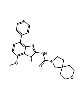 COc1ccc(-c2ccncc2)c2nc(NC(=O)N3CCC4(CCOCC4)C3)[nH]c12